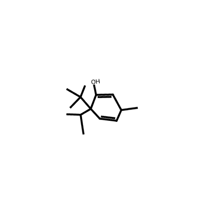 CC1C=CC(C(C)C)(C(C)(C)C)C(O)=C1